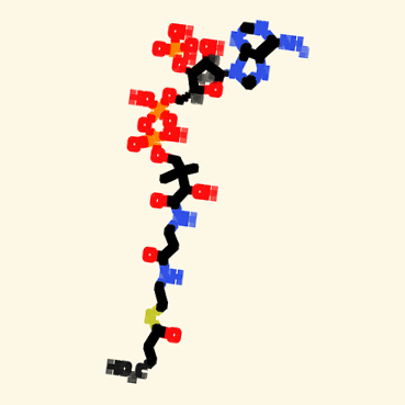 CC(C)(COP(=O)(O)OP(=O)(O)OC[C@H]1O[C@@H](n2cnc3c(N)ncnc32)[C@H](O)[C@H]1OP(=O)(O)O)C(O)C(=O)NCCC(=O)NCCSC(=O)CCC(=O)O